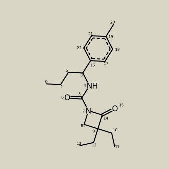 CCCC(NC(=O)N1[CH]C(CC)(CC)C1=O)c1ccc(C)cc1